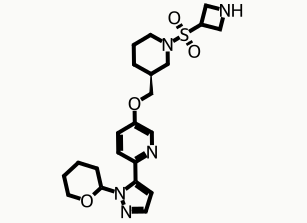 O=S(=O)(C1CNC1)N1CCC[C@H](COc2ccc(-c3ccnn3C3CCCCO3)nc2)C1